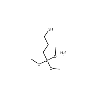 CO[Si](CCCS)(OC)OC.S